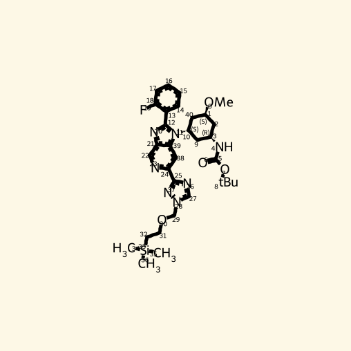 CO[C@H]1C[C@H](NC(=O)OC(C)(C)C)C[C@H](n2c(-c3ccccc3F)nc3cnc(-c4ncn(COCC[Si](C)(C)C)n4)cc32)C1